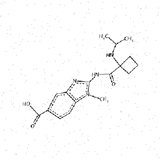 CC(C)NC1(C(=O)Nc2nc3cc(C(=O)O)ccc3n2C)CCC1